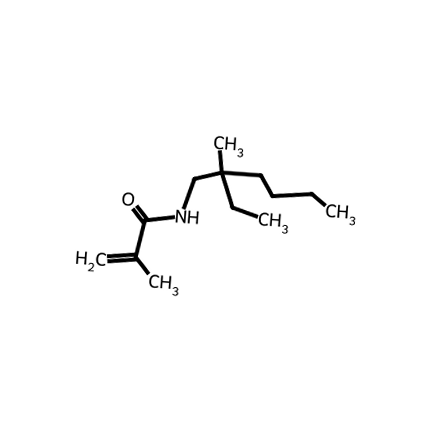 C=C(C)C(=O)NCC(C)(CC)CCCC